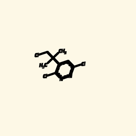 CC(C)(CCl)c1cc(Cl)nnc1Cl